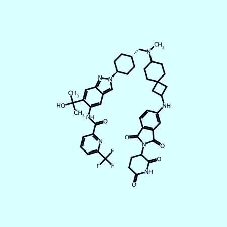 CN(C[C@H]1CC[C@H](n2cc3cc(NC(=O)c4cccc(C(F)(F)F)n4)c(C(C)(C)O)cc3n2)CC1)C1CCC2(CC1)CC(Nc1ccc3c(c1)C(=O)N(C1CCC(=O)NC1=O)C3=O)C2